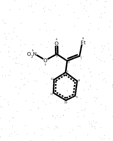 CCC=C(C(=O)O[N+](=O)[O-])c1ccccc1